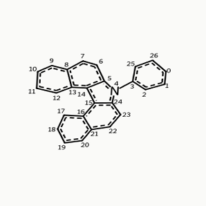 c1ccc(-n2c3ccc4ccccc4c3c3c4ccccc4ccc32)cc1